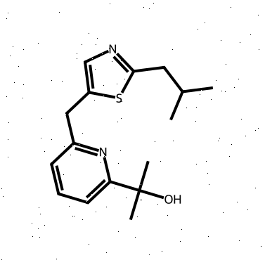 CC(C)Cc1ncc(Cc2cccc(C(C)(C)O)n2)s1